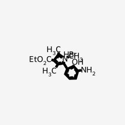 Br.CCOC(=O)c1c(C)c(-c2cccc(N)c2O)n(C)c1C